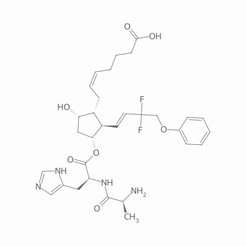 C[C@H](N)C(=O)N[C@@H](Cc1cnc[nH]1)C(=O)O[C@@H]1C[C@H](O)[C@H](C/C=C\CCCC(=O)O)[C@H]1/C=C/C(F)(F)COc1ccccc1